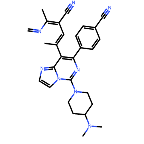 C=N/C(C)=C(C#N)\C=C(/C)c1c(-c2ccc(C#N)cc2)nc(N2CCC(N(C)C)CC2)n2ccnc12